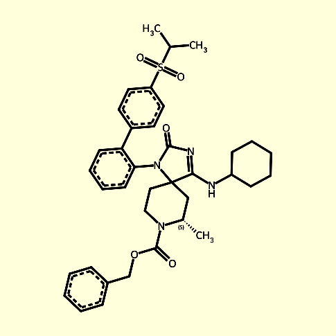 CC(C)S(=O)(=O)c1ccc(-c2ccccc2N2C(=O)N=C(NC3CCCCC3)C23CCN(C(=O)OCc2ccccc2)[C@@H](C)C3)cc1